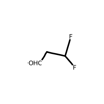 O=[C]CC(F)F